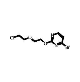 ClCCOCCOc1nccc(Br)n1